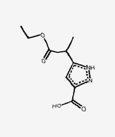 CCOC(=O)C(C)c1cc(C(=O)O)n[nH]1